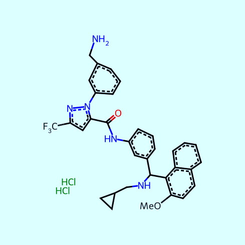 COc1ccc2ccccc2c1C(NCC1CC1)c1cccc(NC(=O)c2cc(C(F)(F)F)nn2-c2cccc(CN)c2)c1.Cl.Cl